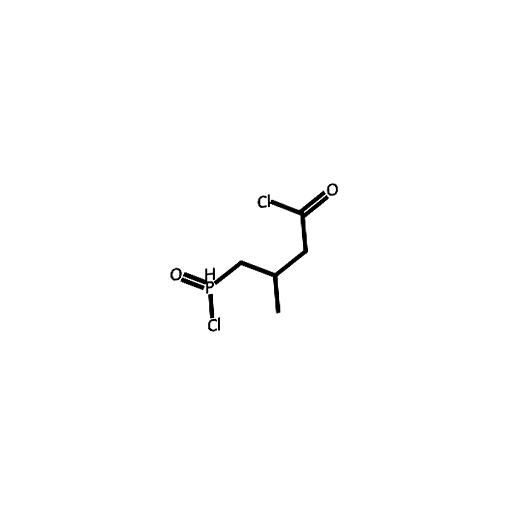 CC(CC(=O)Cl)C[PH](=O)Cl